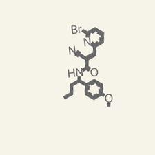 CCCC(NC(=O)/C(C#N)=C/c1cccc(Br)n1)c1ccc(OC)cc1